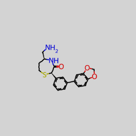 NC[C@@H]1CCS[C@H](c2cccc(-c3ccc4c(c3)OCO4)c2)C(=O)N1